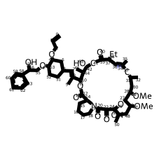 C=CCOC1CC(C=C(C)C2OC(=O)C3CCCCN3C(=O)C(=O)C3(O)OC(C(OC)CC(C)C/C(C)=C/C(CC)C(=O)CC(O)C2C)C(OC)CC3C)CCC1OCC(O)c1ccccc1